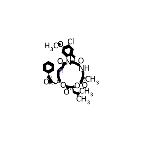 COc1ccc(C[C@H]2NC(=O)/C=C/C[C@@H](C[C@H]3O[C@@H]3c3ccccc3)OC(=O)[C@H](CC(C)C)OC(=O)[C@H](C)CNC2=O)cc1Cl